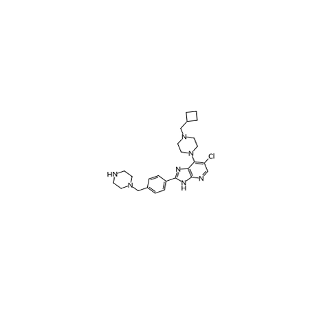 Clc1cnc2[nH]c(-c3ccc(CN4CCNCC4)cc3)nc2c1N1CCN(CC2CCC2)CC1